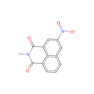 CN1C(=O)c2cccc3cc([N+](=O)[O-])cc(c23)C1=O